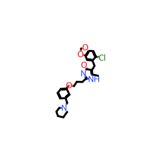 Cc1[nH]c(CCCOc2cccc(CN3CCCCC3)c2)nc(=O)c1Cc1cc2c(cc1Cl)OCO2